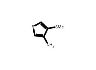 CSc1cscc1N